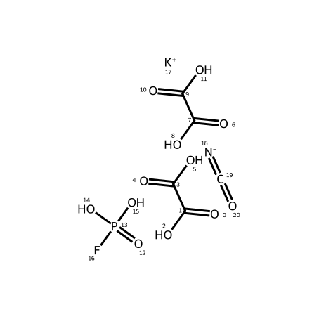 O=C(O)C(=O)O.O=C(O)C(=O)O.O=P(O)(O)F.[K+].[N-]=C=O